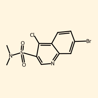 CN(C)S(=O)(=O)c1cnc2cc(Br)ccc2c1Cl